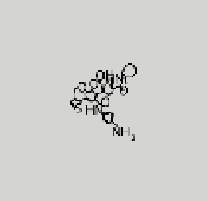 CC1(NC(=O)c2ccc(-c3cc4c(cc3C(=O)Nc3ccc(CN)cc3)-c3sccc3CCO4)c(C(=O)O)n2)CCCCCC1